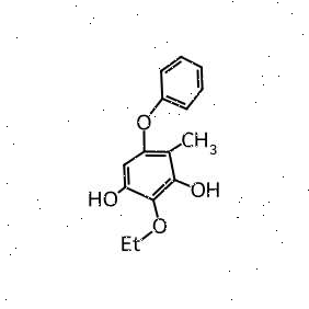 CCOc1c(O)cc(Oc2ccccc2)c(C)c1O